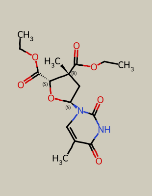 CCOC(=O)[C@H]1O[C@H](n2cc(C)c(=O)[nH]c2=O)C[C@@]1(C)C(=O)OCC